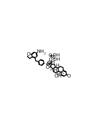 C[C@]12C=CC(=O)C=C1CC[C@@H]1[C@@H]2[C@@H](O)C[C@@]2(C)[C@H]1C[C@H]1O[C@@H](c3ccc(Cc4cc(N)cc5c4CCO5)cc3)O[C@]12C(=O)COP(=O)(O)O